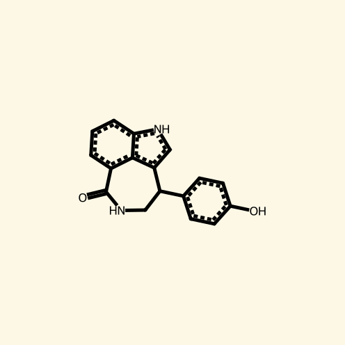 O=C1NCC(c2ccc(O)cc2)c2c[nH]c3cccc1c23